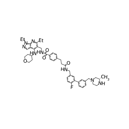 CCc1nc2c(cnn2CC)c(NC2CCOCC2)c1CNS(=O)(=O)c1ccc(CCC(=O)NCc2ccc(F)c(-c3cccc(CN4CCN[C@@H](C)C4)c3)c2)cc1